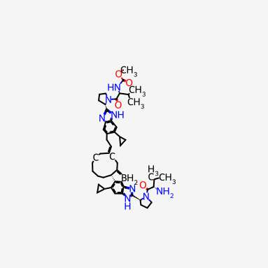 B/C=C1/CC/C(=C/Cc2cc3nc([C@@H]4CCCN4C(=O)[C@@H](NC(=O)OC)C(C)C)[nH]c3cc2C2CC2)CCCCCC[C@H]1c1cc2nc([C@@H]3CCCN3C(=O)[C@@H](N)C(C)C)[nH]c2cc1C1CC1